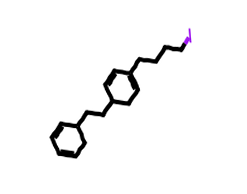 ICCCCC1=CCC(CCC2C=CC=CC2)C=C1